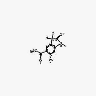 COC(=O)c1cc2c(cc1C(C)=O)N(C)C(=O)C2(C)C